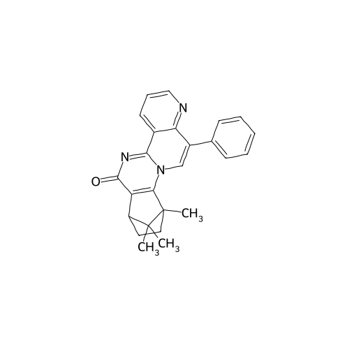 CC12CCC(c3c1n1cc(-c4ccccc4)c4ncccc4c1nc3=O)C2(C)C